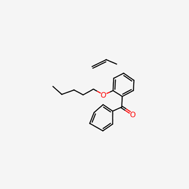 C=CC.CCCCCOc1ccccc1C(=O)c1ccccc1